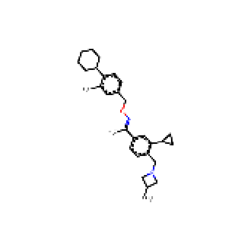 C/C(=N\OCc1ccc(C2CCCCC2)c(C(F)(F)F)c1)c1ccc(CN2CC(C(=O)O)C2)c(C2CC2)c1